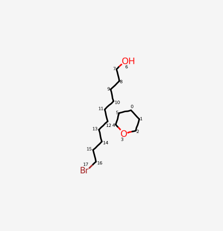 C1CCOCC1.OCCCCCCCCCCBr